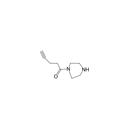 C#CCCC(=O)N1CCNCC1